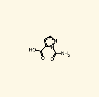 NC(=O)n1nccc1C(=O)O